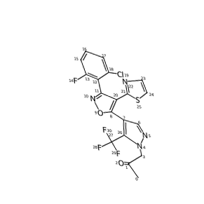 CC(=O)Cn1ncc(-c2onc(-c3c(F)cccc3Cl)c2-c2nccs2)c1C(F)(F)F